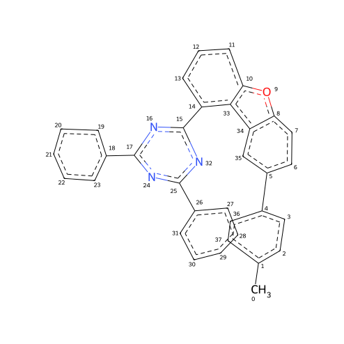 Cc1ccc(-c2ccc3oc4cccc(-c5nc(-c6ccccc6)nc(-c6ccccc6)n5)c4c3c2)cc1